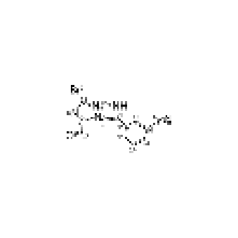 CN/C(=C\n1nc(Br)nc1C=O)c1cccc(C#N)c1